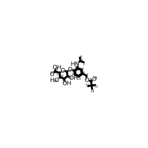 CC(C)Nc1cc(COC(=O)C(C)(C)C)ccc1OC1OC(C(=O)O)C(O)C(O)C1O